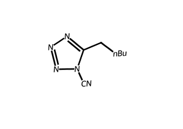 CCCCCc1nnnn1C#N